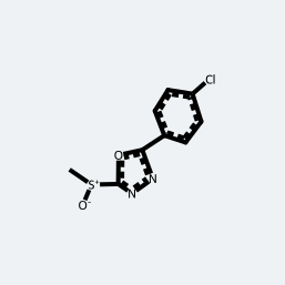 C[S+]([O-])c1nnc(-c2ccc(Cl)cc2)o1